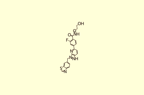 O=C(NOCCO)c1ccc(-c2ccc3[nH]n(Cc4ccc5ncsc5c4)c3n2)cc1F